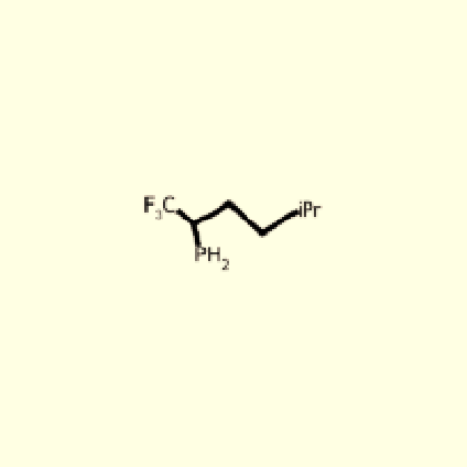 CC(C)CCC(P)C(F)(F)F